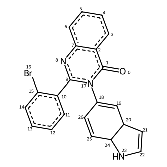 O=c1c2ccccc2nc(-c2ccccc2Br)n1C1=CC2C=CNC2C=C1